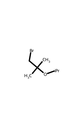 CC(C)OC(C)(C)CBr